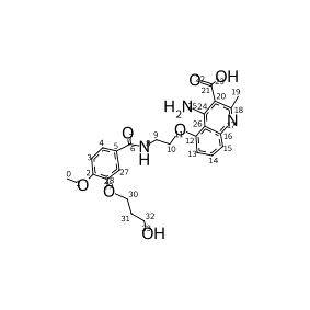 COc1ccc(C(=O)NCCOc2cccc3nc(C)c(C(=O)O)c(N)c23)cc1OCCCO